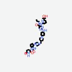 C=CCn1c(=O)c2cnc(Nc3ccc(N4CCC(CN5CCN(c6cccc7c6n(C)c(=O)n7C6CCC(=O)NC6=O)CC5)CC4)cc3)nc2n1-c1cccc(C(C)(C)O)n1